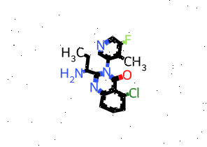 CCC(N)c1nc2cccc(Cl)c2c(=O)n1-c1cncc(F)c1C